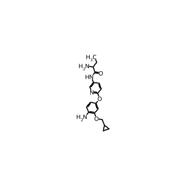 CCC(N)C(=O)Nc1ccc(Oc2ccc(N)c(OCC3CC3)c2)nc1